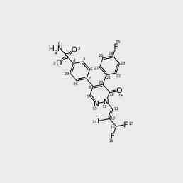 NS(=O)(=O)c1ccc(-c2cnn(/C=C(\F)C(F)F)c(=O)c2-c2ccc(F)cc2)cc1